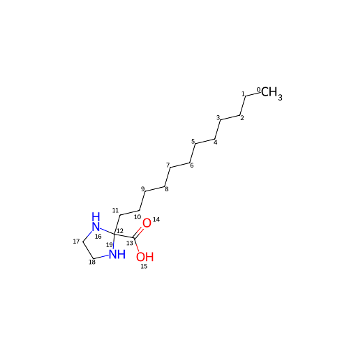 CCCCCCCCCCCCC1(C(=O)O)NCCN1